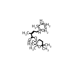 CC(=CC[SiH]1O[SiH2][SiH2][SiH2][SiH2]1)C(=O)O[Si]1(C)CCC(C)(C)O[Si]1(C)C